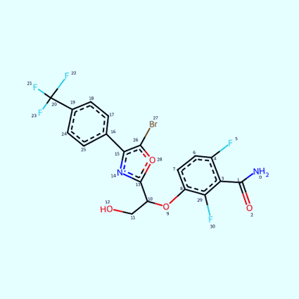 NC(=O)c1c(F)ccc(OC(CO)c2nc(-c3ccc(C(F)(F)F)cc3)c(Br)o2)c1F